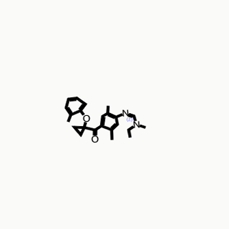 CCN(C)/C=N\c1cc(C)c(C(=O)C2(Oc3ccccc3C)CC2)cc1C